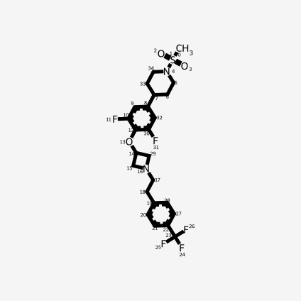 CS(=O)(=O)N1CCC(c2cc(F)c(OC3CN(CCc4ccc(C(F)(F)F)cc4)C3)c(F)c2)CC1